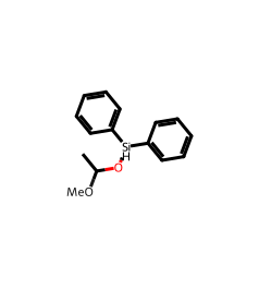 COC(C)O[SiH](c1ccccc1)c1ccccc1